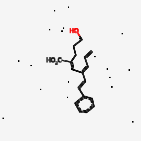 C=CC=C(C=Cc1ccccc1)C=C(CCCO)C(=O)O